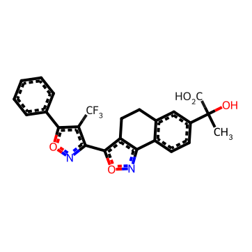 CC(O)(C(=O)O)c1ccc2c(c1)CCc1c-2noc1-c1noc(-c2ccccc2)c1C(F)(F)F